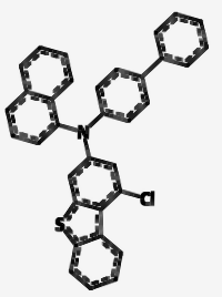 Clc1cc(N(c2ccc(-c3ccccc3)cc2)c2cccc3ccccc23)cc2sc3ccccc3c12